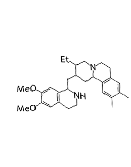 CCC1CN2CCc3cc(C)c(C)cc3C2CC1CC1NCCc2cc(OC)c(OC)cc21